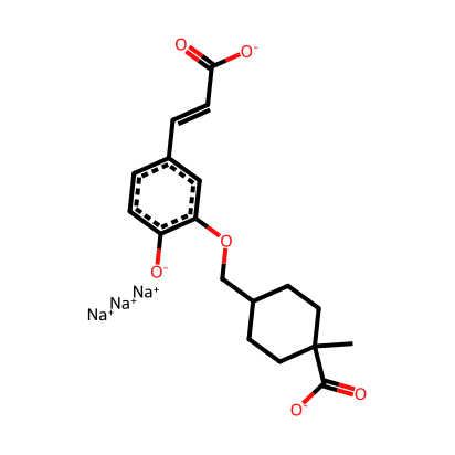 CC1(C(=O)[O-])CCC(COc2cc(C=CC(=O)[O-])ccc2[O-])CC1.[Na+].[Na+].[Na+]